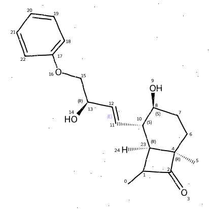 CC1C(=O)[C@]2(C)CC[C@H](O)[C@@H](/C=C/[C@@H](O)COc3ccccc3)[C@H]12